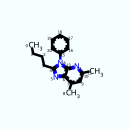 CCCCc1nc2c(C)cc(C)nc2n1-c1c[c]ccc1